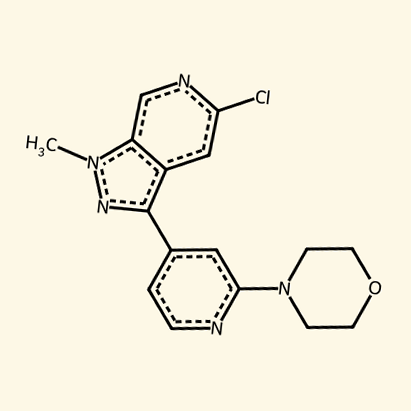 Cn1nc(-c2ccnc(N3CCOCC3)c2)c2cc(Cl)ncc21